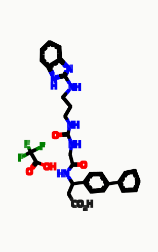 O=C(O)C(F)(F)F.O=C(O)CC(NC(=O)CNC(=O)NCCCNc1nc2ccccc2[nH]1)c1ccc(-c2ccccc2)cc1